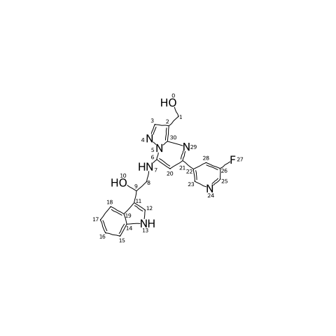 OCc1cnn2c(NCC(O)c3c[nH]c4ccccc34)cc(-c3cncc(F)c3)nc12